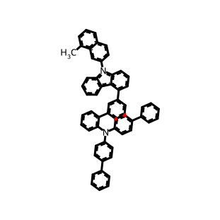 Cc1cccc2ccc(-n3c4ccccc4c4c(-c5cccc(-c6ccccc6N(c6ccc(-c7ccccc7)cc6)c6ccc(-c7ccccc7)cc6)c5)cccc43)cc12